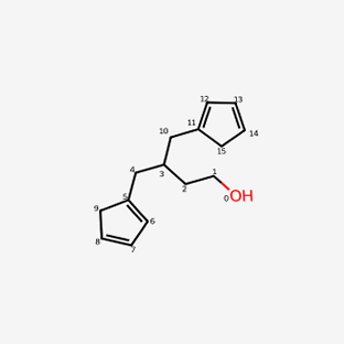 OCCC(CC1=CC=CC1)CC1=CC=CC1